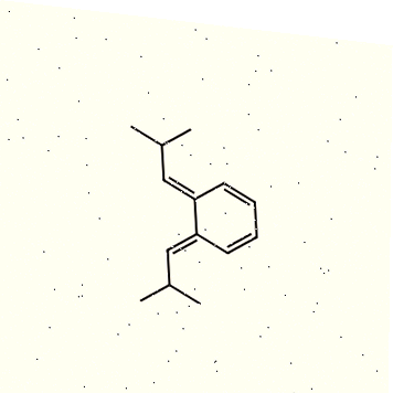 CC(C)C=c1ccccc1=CC(C)C